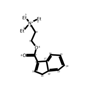 CC[N+](CC)(CC)CCOC(=O)C1=CCc2ccccc21